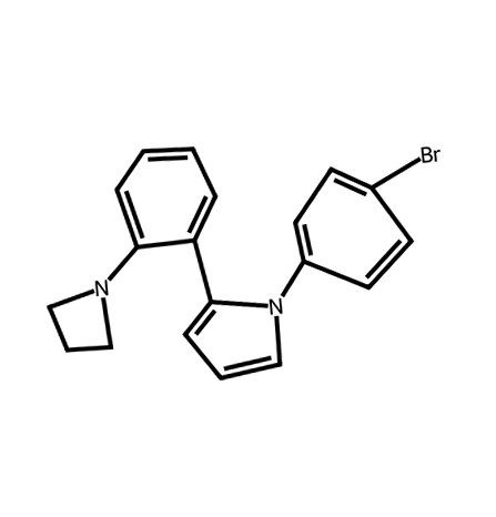 Brc1ccc(-n2cccc2-c2ccccc2N2CCC2)cc1